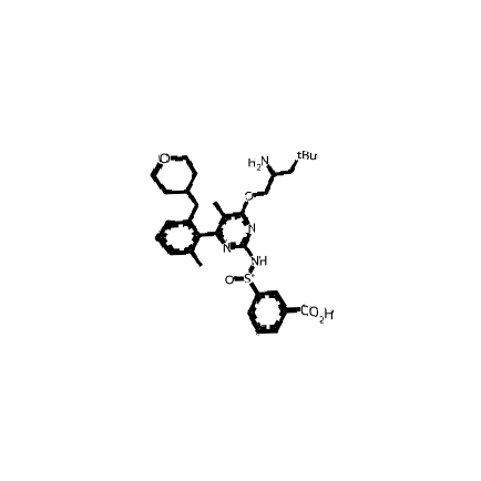 Cc1cccc(CC2CCOCC2)c1-c1nc(N[S+]([O-])c2cccc(C(=O)O)c2)nc(OCC(N)CC(C)(C)C)c1C